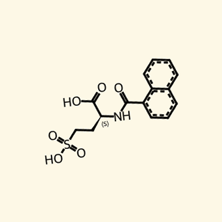 O=C(N[C@@H](CCS(=O)(=O)O)C(=O)O)c1cccc2ccccc12